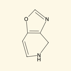 C1=Cc2ocnc2CN1